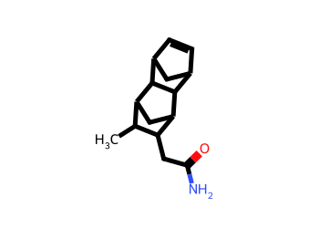 CC1C(CC(N)=O)C2CC1C1C3C=CC(C3)C21